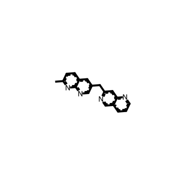 Cc1ccc2cc(Cc3cc4ncccc4cn3)cnc2n1